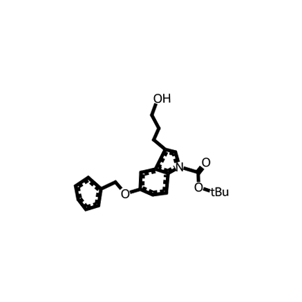 CC(C)(C)OC(=O)n1cc(CCCO)c2cc(OCc3ccccc3)ccc21